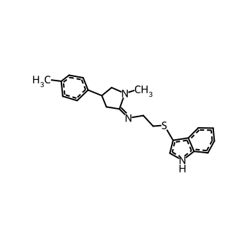 Cc1ccc(C2C/C(=N/CCSc3c[nH]c4ccccc34)N(C)C2)cc1